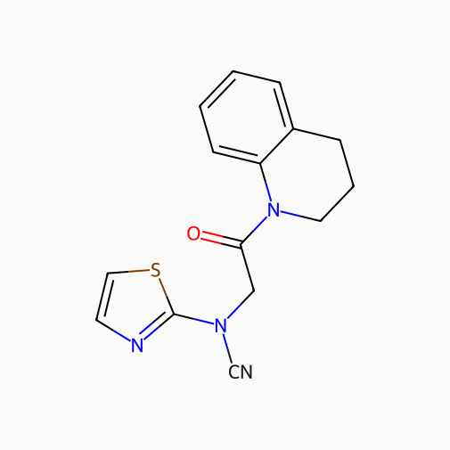 N#CN(CC(=O)N1CCCc2ccccc21)c1nccs1